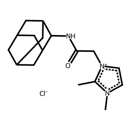 Cc1n(C)cc[n+]1CC(=O)NC1C2CC3CC(C2)CC1C3.[Cl-]